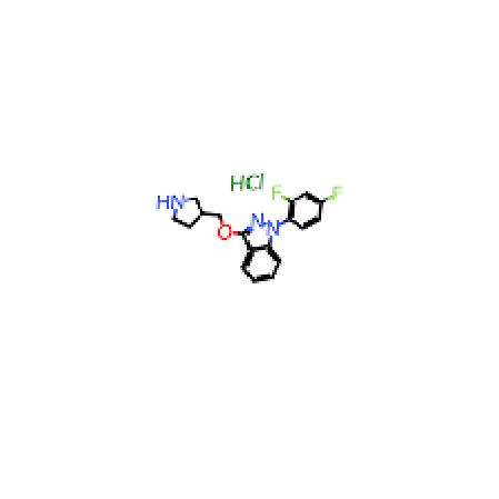 Cl.Fc1ccc(-n2nc(OCC3CCNC3)c3ccccc32)c(F)c1